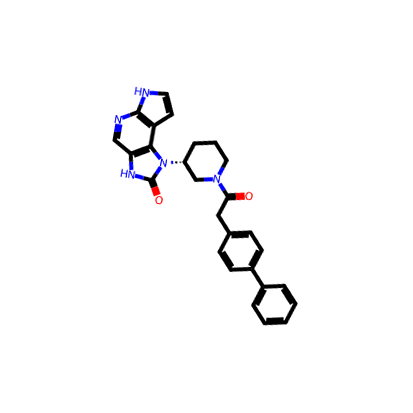 O=C(Cc1ccc(-c2ccccc2)cc1)N1CCC[C@@H](n2c(=O)[nH]c3cnc4[nH]ccc4c32)C1